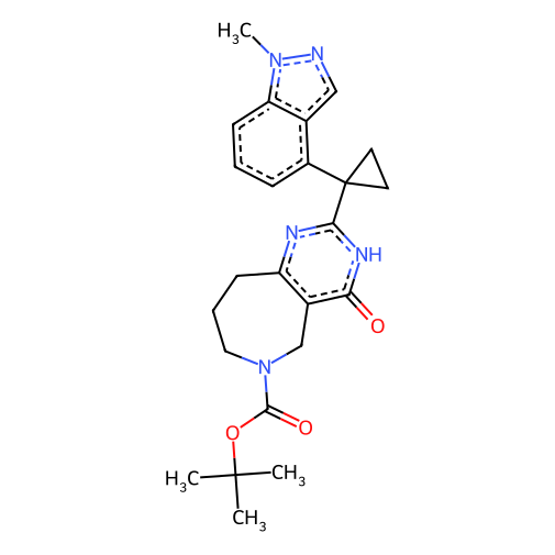 Cn1ncc2c(C3(c4nc5c(c(=O)[nH]4)CN(C(=O)OC(C)(C)C)CCC5)CC3)cccc21